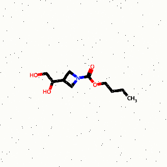 CCCCOC(=O)N1CC(C(O)CO)C1